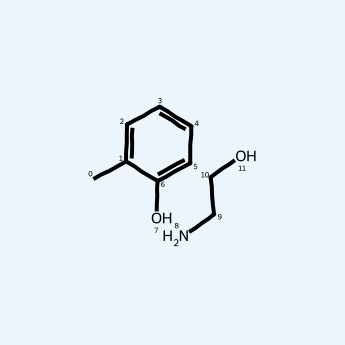 Cc1ccccc1O.NCCO